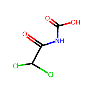 O=C(O)NC(=O)C(Cl)Cl